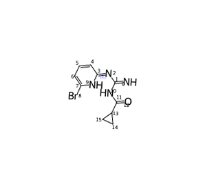 N=C(/N=c1/cccc(Br)[nH]1)NC(=O)C1CC1